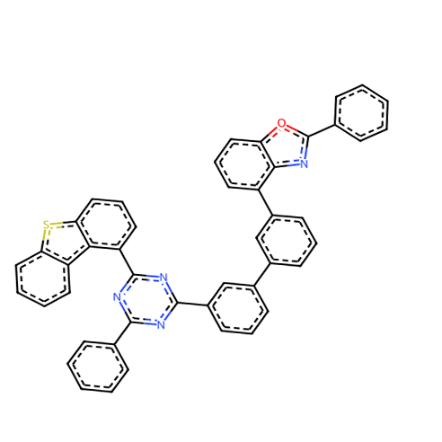 c1ccc(-c2nc(-c3cccc(-c4cccc(-c5cccc6oc(-c7ccccc7)nc56)c4)c3)nc(-c3cccc4sc5ccccc5c34)n2)cc1